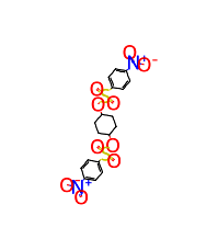 O=[N+]([O-])c1ccc(S(=O)(=O)OC2CCC(OS(=O)(=O)c3ccc([N+](=O)[O-])cc3)CC2)cc1